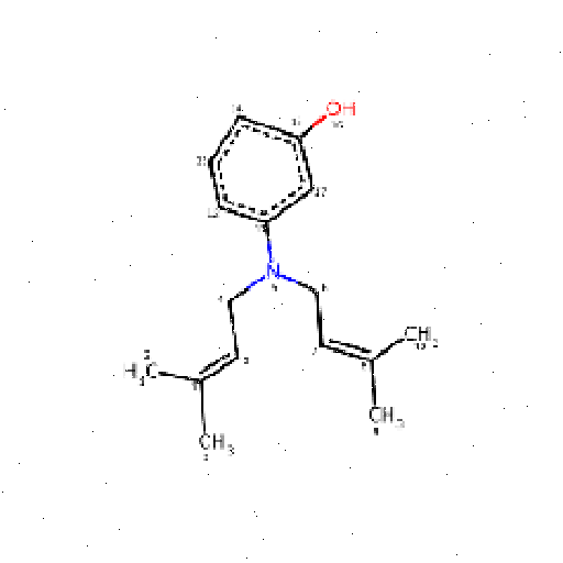 CC(C)=CCN(CC=C(C)C)c1cccc(O)c1